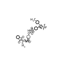 Cc1ccc(-c2cc(C(F)(F)F)nn2-c2ccc(S(=O)(=O)NC(=O)OC3CCN(/[N+]([O-])=N\OC(C)N4C(=O)c5ccccc5C4=O)CC3)cc2)cc1